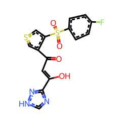 O=C(C=C(O)c1nc[nH]n1)c1cscc1S(=O)(=O)c1ccc(F)cc1